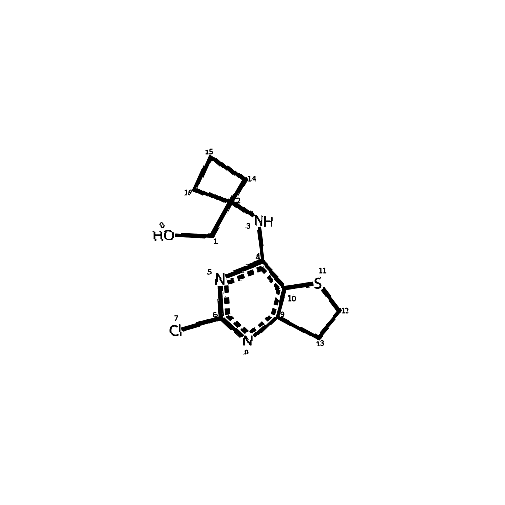 OCC1(Nc2nc(Cl)nc3c2SCC3)CCC1